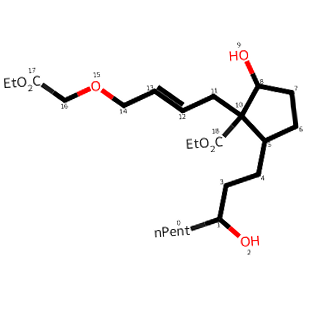 CCCCCC(O)CCC1CCC(O)C1(C/C=C/COCC(=O)OCC)C(=O)OCC